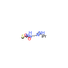 CC(C)C[C@H]1CN(CCCCCNC(=O)c2cc(-c3cccs3)on2)CCN1